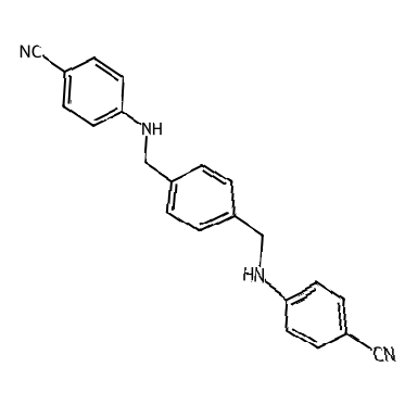 N#Cc1ccc(NCc2ccc(CNc3ccc(C#N)cc3)cc2)cc1